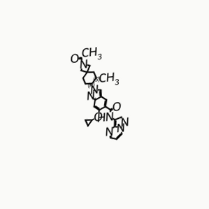 CC(=O)N1CC2(CC[C@@H](n3cc4cc(C(=O)Nc5cnn6cccnc56)c(OC5CC5)cc4n3)[C@@H](C)C2)C1